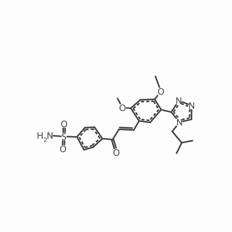 COc1cc(OC)c(-c2nncn2CC(C)C)cc1/C=C/C(=O)c1ccc(S(N)(=O)=O)cc1